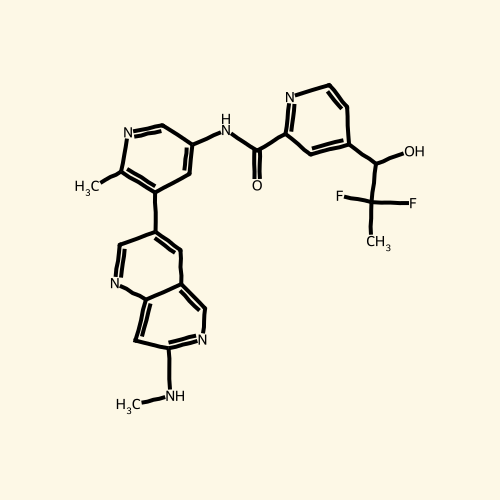 CNc1cc2ncc(-c3cc(NC(=O)c4cc(C(O)C(C)(F)F)ccn4)cnc3C)cc2cn1